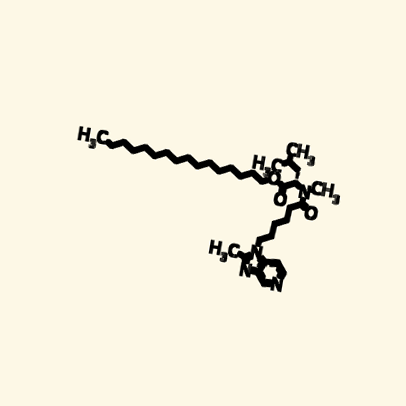 CCCCCCCCCCCCCCCCOC(=O)[C@H](CC(C)C)N(C)C(=O)CCCCCn1c(C)nc2cnccc21